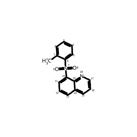 Cc1ccccc1S(=O)(=O)c1cccc2cccnc12